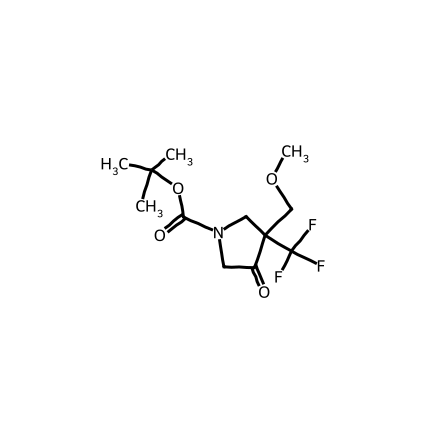 COCC1(C(F)(F)F)CN(C(=O)OC(C)(C)C)CC1=O